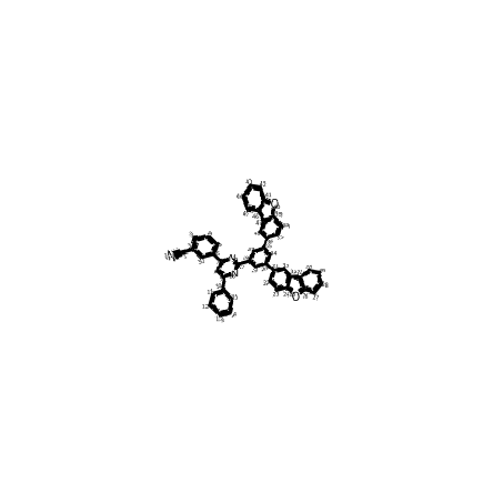 N#Cc1cccc(-c2cc(-c3ccccc3)nc(-c3cc(-c4ccc5oc6ccccc6c5c4)cc(-c4ccc5oc6ccccc6c5c4)c3)n2)c1